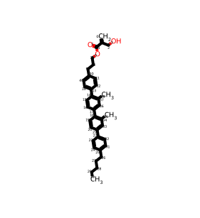 C=C(CO)C(=O)OCCCc1ccc(-c2ccc(-c3ccc(-c4ccc(CCCCC)cc4)cc3C)cc2C)cc1